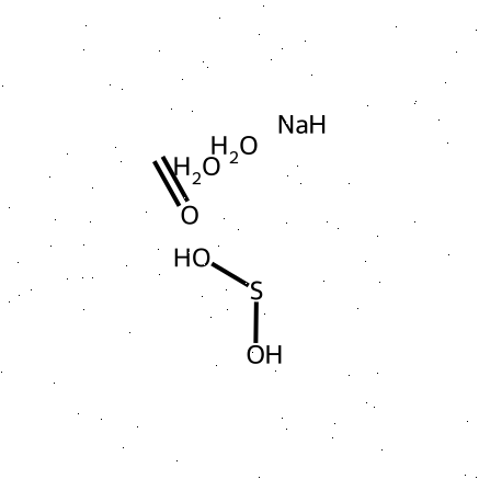 C=O.O.O.OSO.[NaH]